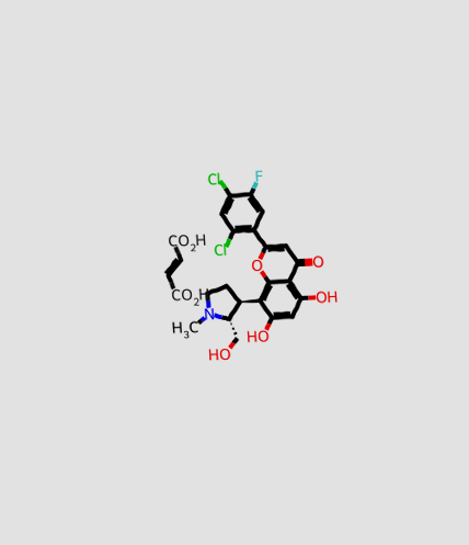 CN1CC[C@@H](c2c(O)cc(O)c3c(=O)cc(-c4cc(F)c(Cl)cc4Cl)oc23)[C@@H]1CO.O=C(O)C=CC(=O)O